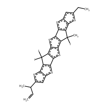 C=CC(C)c1cc2sc3c(c2s1)C(I)(I)c1c-3sc2c3c(sc12)-c1sc2cc(CC)sc2c1C3(C)I